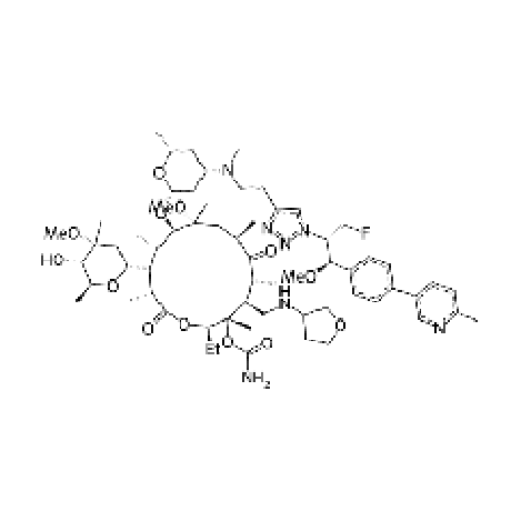 CC[C@H]1OC(=O)[C@H](C)C([C@H]2C[C@@](C)(OC)[C@@H](O)[C@H](C)O2)[C@H](C)[C@@H](O[C@H]2C[C@@H](N(C)CCc3cn([C@H](CF)[C@H](OC)c4ccc(-c5ccc(C)nc5)cc4)nn3)C[C@@H](C)O2)[C@](C)(OC)C[C@@H](C)C(=O)[C@H](C)[C@@H](CNC2CCOC2)[C@]1(C)OC(N)=O